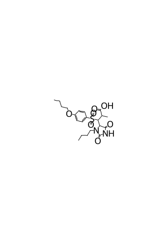 CCCCOc1ccc(S(=O)(=O)C(C(C)C(=O)O)C2C(=O)NC(=O)N2CCCC)cc1